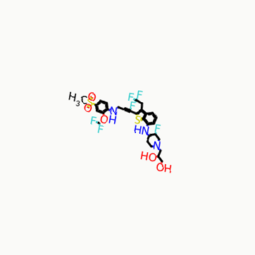 CS(=O)(=O)c1ccc(NCC#Cc2sc3c(NC4CCN(CC(O)CO)CC4F)cccc3c2CC(F)(F)F)c(OC(F)F)c1